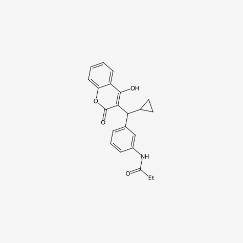 [CH2]CC(=O)Nc1cccc(C(c2c(O)c3ccccc3oc2=O)C2CC2)c1